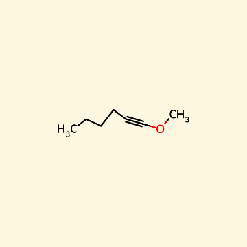 CCCCC#COC